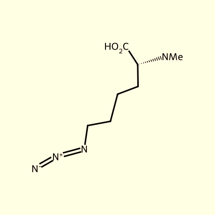 CN[C@H](CCCCN=[N+]=[N-])C(=O)O